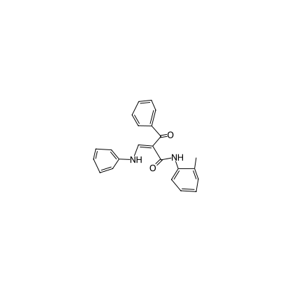 Cc1ccccc1NC(=O)/C(=C\Nc1ccccc1)C(=O)c1ccccc1